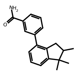 CC1Cc2c(-c3cccc(C(N)=O)c3)cccc2C1(C)C